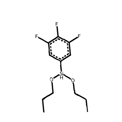 CCCO[SiH](OCCC)c1cc(F)c(F)c(F)c1